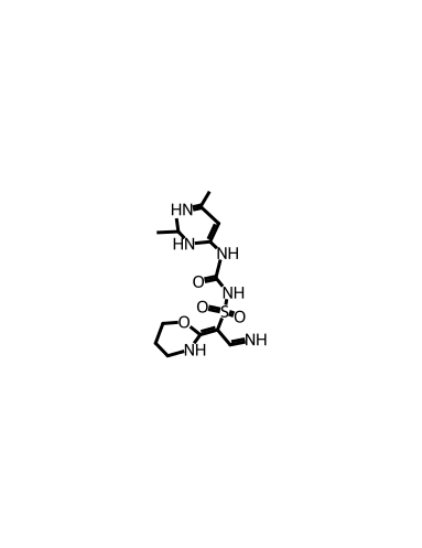 CC(=N)/C=C(/NC(=O)NS(=O)(=O)/C(C=N)=C1/NCCCO1)NC(C)C